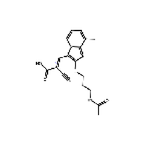 CC(=O)NCCCOc1nc2c(C)cccn2c1/C=C(\C#N)C(=O)O